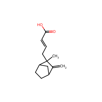 C=C1C2CCC(C2)C1(C)CC=CC(=O)O